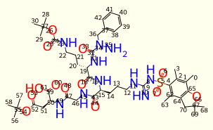 Cc1c(C)c(S(=O)(=O)NC(=N)NCCC[C@H](NC(=O)[C@H](CCCNC(=O)OC(C)(C)C)NC(=O)N(N)Cc2ccccc2)C(=O)NCC(=O)N[C@@H](CC(=O)OC(C)(C)C)C(=O)O)c(C)c2c1OC(C)(C)C2